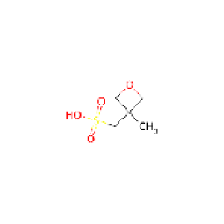 CC1(CS(=O)(=O)O)COC1